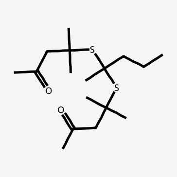 CCCC(C)(SC(C)(C)CC(C)=O)SC(C)(C)CC(C)=O